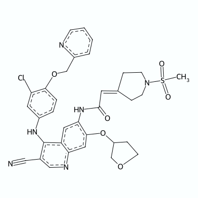 CS(=O)(=O)N1CCC(=CC(=O)Nc2cc3c(Nc4ccc(OCc5ccccn5)c(Cl)c4)c(C#N)cnc3cc2OC2CCOC2)CC1